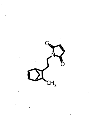 CC1C2C=CC(C2)C1CCN1C(=O)C=CC1=O